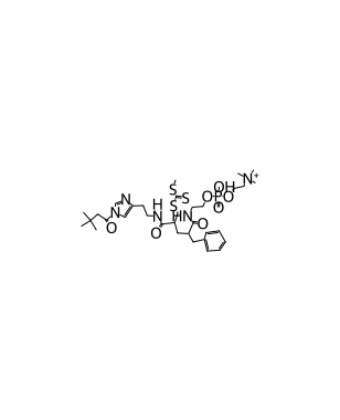 CSC(=S)SCC(CC(Cc1ccccc1)C(=O)NCCOP(=O)(O)OCC[N+](C)(C)C)C(=O)NCCc1cn(C(=O)CC(C)(C)C)cn1